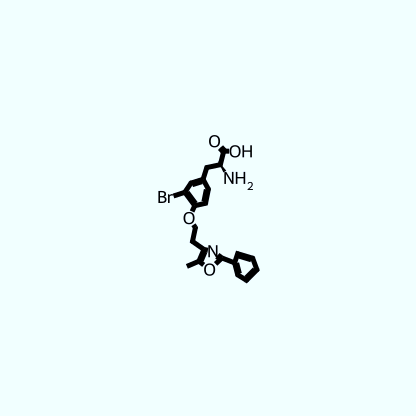 Cc1oc(-c2ccccc2)nc1CCOc1ccc(C[C@H](N)C(=O)O)cc1Br